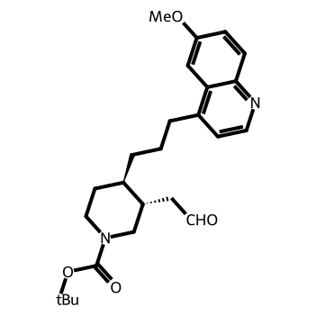 COc1ccc2nccc(CCC[C@@H]3CCN(C(=O)OC(C)(C)C)C[C@H]3CC=O)c2c1